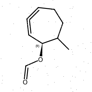 CC1CCC=C=C[C@@H]1OC=O